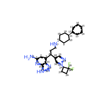 Nc1cc(C(CCN[C@H]2CC[C@H](c3ccccc3)CC2)c2cnn(C3CCC3(F)F)c2)c2nn[nH]c2n1